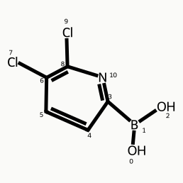 OB(O)c1ccc(Cl)c(Cl)n1